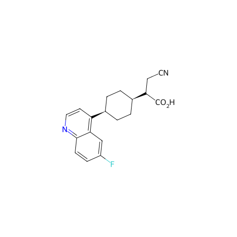 N#CCC(C(=O)O)[C@H]1CC[C@@H](c2ccnc3ccc(F)cc32)CC1